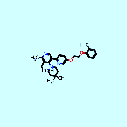 Cc1ccccc1OCCOc1ccc(-c2cnc(C)c(CC(=O)O)c2N2CCC(C)(C)CC2)nc1